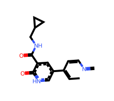 C=N/C=C\C(=C/C)c1c[nH]c(=O)c(C(=O)NCC2CC2)c1